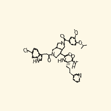 CNC(=O)[C@H](CCCc1cccnc1)NC(=O)C1CN(C(=O)Cc2c[nH]c3cc(Cl)ccc23)CC2CN(C(=O)c3ccc(OC(C)C)c(OC)c3)CC21